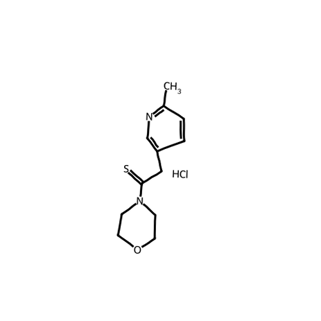 Cc1ccc(CC(=S)N2CCOCC2)cn1.Cl